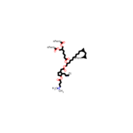 CC/C=C\CC1C(CC(=O)OCC(CCCCCCCCC2CC2CC2CC2CCCCC)OC(=O)CCCCC(COC(=O)CCCCC)COC(=O)CCCCC)CCC1OC(=O)CCCN(C)C